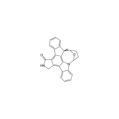 O=C1NCc2c1c1c3c4c2c2ccccc2n4C2CCC(O2)[C@H]3c2ccccc2-1